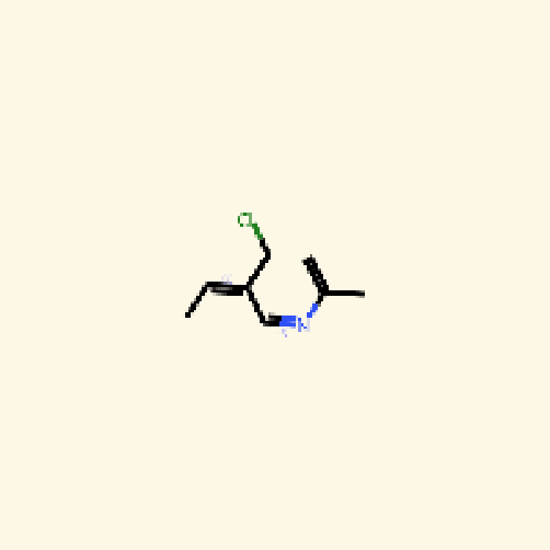 C=C(C)/N=C\C(=C/C)CCl